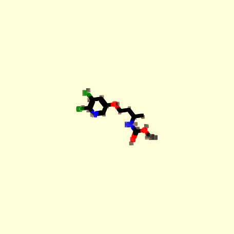 CC(CCOc1cnc(Cl)c(Br)c1)NC(=O)OC(C)(C)C